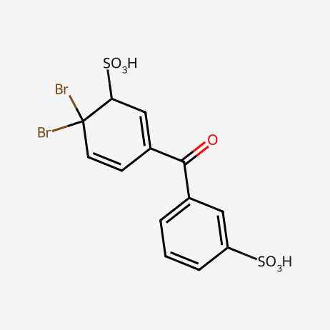 O=C(C1=CC(S(=O)(=O)O)C(Br)(Br)C=C1)c1cccc(S(=O)(=O)O)c1